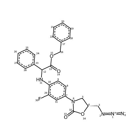 [N-]=[N+]=NC[C@H]1CN(c2ccc(NC(C(=O)OCc3ccccc3)c3ccccc3)c(F)c2)C(=O)O1